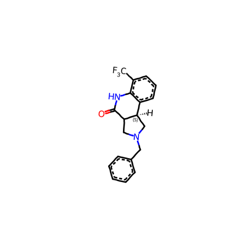 O=C1Nc2c(cccc2C(F)(F)F)[C@H]2CN(Cc3ccccc3)CC12